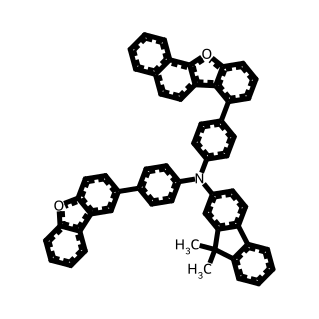 CC1(C)c2ccccc2-c2ccc(N(c3ccc(-c4ccc5oc6ccccc6c5c4)cc3)c3ccc(-c4cccc5oc6c7ccccc7ccc6c45)cc3)cc21